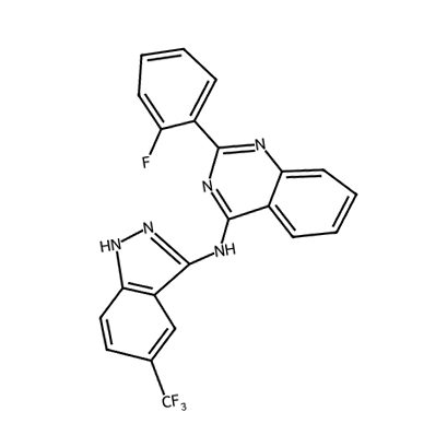 Fc1ccccc1-c1nc(Nc2n[nH]c3ccc(C(F)(F)F)cc23)c2ccccc2n1